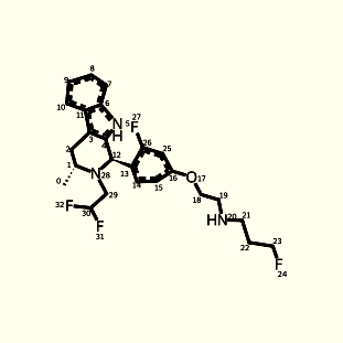 C[C@@H]1Cc2c([nH]c3ccccc23)[C@@H](c2ccc(OCCNCCCF)cc2F)N1CC(F)F